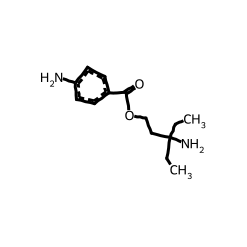 CCC(N)(CC)CCOC(=O)c1ccc(N)cc1